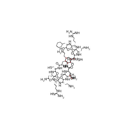 C[C@@H](O)[C@H](NC(=O)[C@H](CCN)NC(=O)[C@H](CCCNC(=N)N)NC(=O)[C@H](CC(N)=O)NC(=O)[C@H](CS)NC(=O)[C@@H](N)Cc1ccc(O)cc1)C(=O)N[C@H](CCN)C(=O)N[C@@H](CCCCN)C(=O)N[C@@H](CS)C(=O)N[C@@H](CCN)C(=O)N[C@@H](CCCNC(=N)N)C(=O)N[C@@H](CC1CCCCC1)C(=O)O